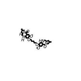 C=C1CC2CNc3cc(OCCCCCOc4cc5c(cc4OC)C(=O)N4CC(=C)C[C@H]4CN5)c(OC)cc3C(=O)N2C1